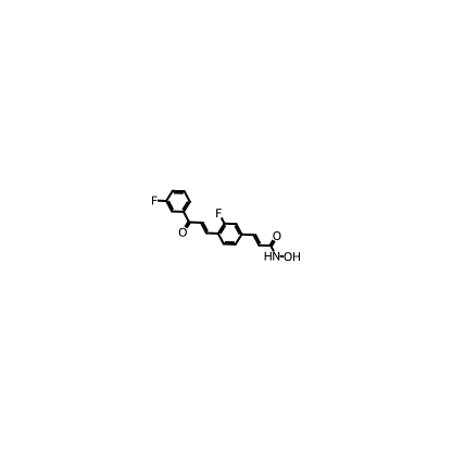 O=C(C=Cc1ccc(C=CC(=O)c2cccc(F)c2)c(F)c1)NO